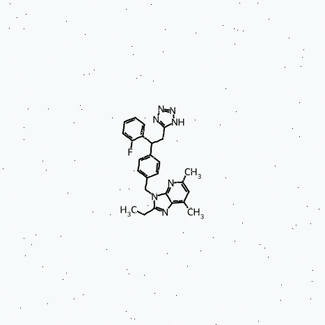 CCc1nc2c(C)cc(C)nc2n1Cc1ccc(C(Cc2nnn[nH]2)c2ccccc2F)cc1